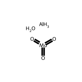 O.[AlH3].[O]=[Mo](=[O])=[O]